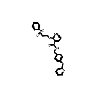 O=C(NCc1ccc(Oc2ccccn2)cc1)c1cccnc1SCCS(=O)(=O)c1ccccc1